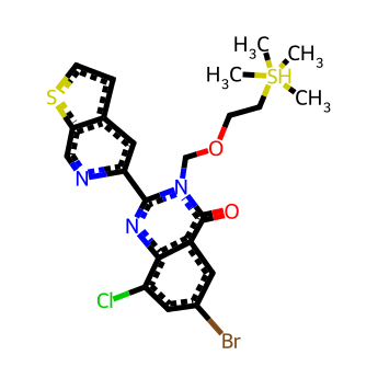 C[SH](C)(C)(C)CCOCn1c(-c2cc3ccsc3cn2)nc2c(Cl)cc(Br)cc2c1=O